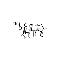 CC(C)(C)OC(=O)N1CCC[C@H]1C(=O)N[C@@H]1CCCC1=O